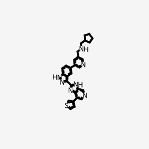 c1cc(-c2cncc3[nH]c(-c4n[nH]c5ccc(-c6cncc(CNCC7CCCC7)c6)cc45)nc23)cs1